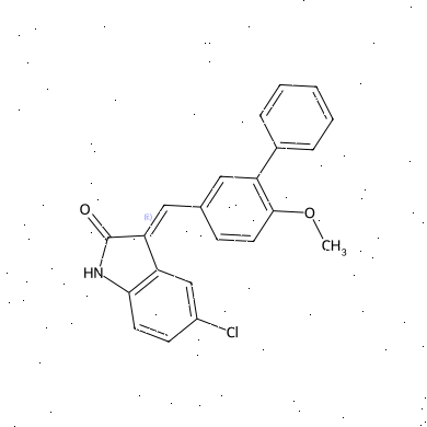 COc1ccc(/C=C2/C(=O)Nc3ccc(Cl)cc32)cc1-c1ccccc1